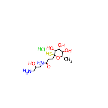 C[C@@H]1O[C@](S)(CCC(=O)NCC(O)CN)[C@H](O)[C@H](O)[C@H]1O.Cl